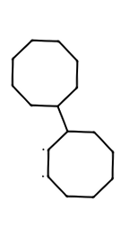 [CH]1[CH]C(C2CCCCCCC2)CCCCC1